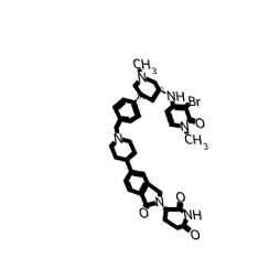 CN1C[C@H](Nc2ccn(C)c(=O)c2Br)C[C@H](c2ccc(CN3CCC(c4ccc5c(c4)CN(C4CCC(=O)NC4=O)C5=O)CC3)cc2)C1